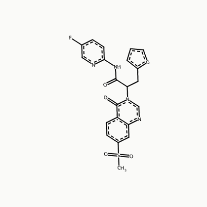 CS(=O)(=O)c1ccc2c(=O)n(C(Cc3ccco3)C(=O)Nc3ccc(F)cn3)cnc2c1